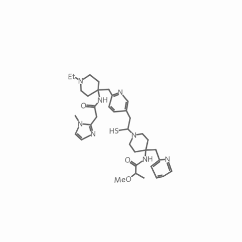 CCN1CCC(Cc2ccc(CC(S)N3CCC(Cc4ccccn4)(NC(=O)C(C)OC)CC3)cn2)(NC(=O)Cc2nccn2C)CC1